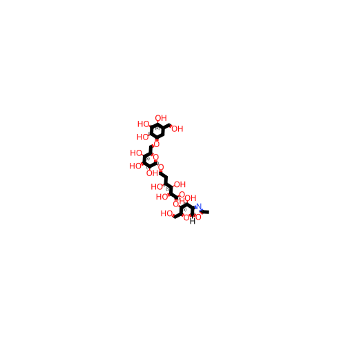 CC1=NC2[C@@H](O1)OC(CO)[C@@H](O[C@H](O)C(O)[C@@H](O)[C@H](O)CCO[C@H]1OC(COC3CC(CO)[C@@H](O)[C@H](O)[C@H]3O)[C@@H](O)C(O)[C@H]1O)[C@@H]2O